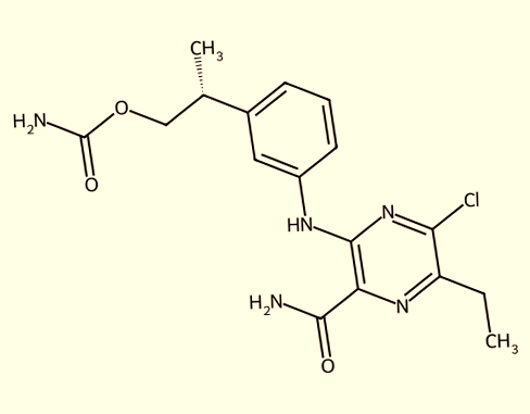 CCc1nc(C(N)=O)c(Nc2cccc([C@@H](C)COC(N)=O)c2)nc1Cl